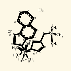 C[Si](C)(C)CC1=C[CH]([Hf]([CH3])([CH3])([CH3])([CH3])(=[SiH2])(=[SiH2])[CH]2C=Cc3c2ccc2ccccc32)C=C1.[Cl-].[Cl-]